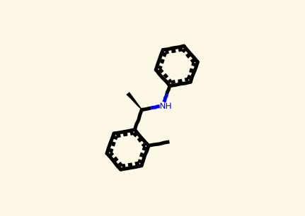 Cc1ccccc1[C@@H](C)Nc1ccccc1